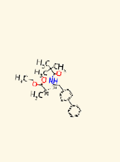 CCOC(=O)[C@H](C)C[C@@H](Cc1ccc(-c2ccccc2)cc1)NC(=O)C(C)(C)C